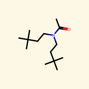 CC(=O)N(CCC(C)(C)C)CCC(C)(C)C